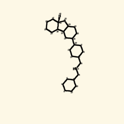 C1CCC(CNCC2CCC(C3CCC4S[C@H]5CCCCC5C4C3)CC2)CC1